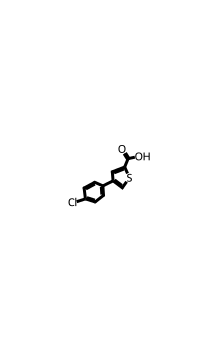 O=C(O)c1cc(-c2ccc(Cl)cc2)cs1